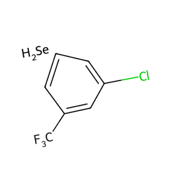 FC(F)(F)c1cccc(Cl)c1.[SeH2]